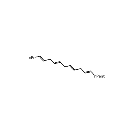 [CH2]CCC=CCC=CCC=CCC=CCCCCC